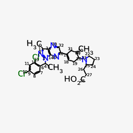 Cc1nn(C(C)c2ccc(Cl)cc2Cl)c2nc(C3=CCC(N4CCCC4CCC(=O)O)[C@H](C)C3)cnc12